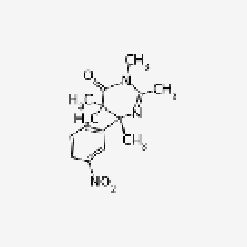 CC1=N[C@](C)(c2cccc([N+](=O)[O-])c2)C(C)(C)C(=O)N1C